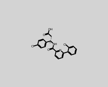 O=C(O)C[C@H](NC(=O)c1cccc(-c2ccccc2Cl)n1)c1ccc(Cl)cc1